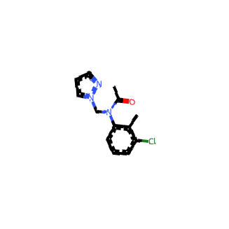 CC(=O)N(Cn1cccn1)c1cccc(Cl)c1C